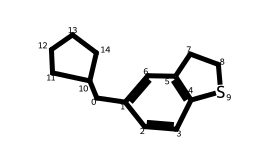 [CH](c1ccc2c(c1)CCS2)C1CCCC1